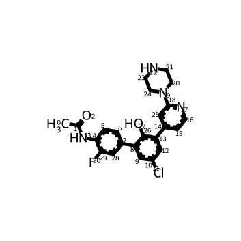 CC(=O)Nc1ccc(-c2cc(Cl)cc(-c3ccnc(N4CCNCC4)c3)c2O)cc1F